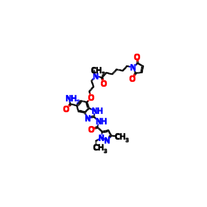 CCn1nc(C)cc1C(=O)Nc1nc2cc(C(N)=O)cc(OCCCN(C)C(=O)CCCCCN3C(=O)C=CC3=O)c2[nH]1